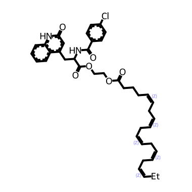 CC/C=C\C/C=C\C/C=C\C/C=C\C/C=C\CCCC(=O)OCCOC(=O)C(Cc1cc(=O)[nH]c2ccccc12)NC(=O)c1ccc(Cl)cc1